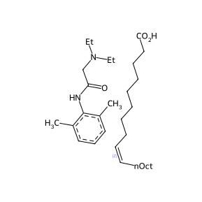 CCCCCCCC/C=C\CCCCCCCC(=O)O.CCN(CC)CC(=O)Nc1c(C)cccc1C